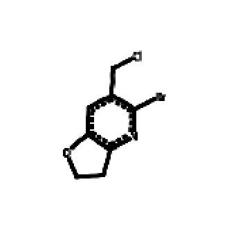 ClCc1cc2c(nc1Br)CCO2